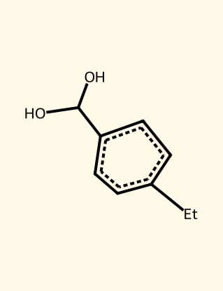 CCc1ccc(C(O)O)cc1